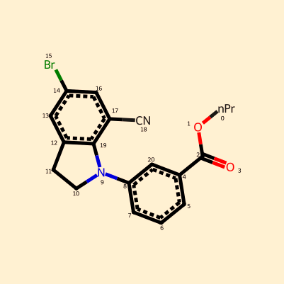 CCCOC(=O)c1cccc(N2CCc3cc(Br)cc(C#N)c32)c1